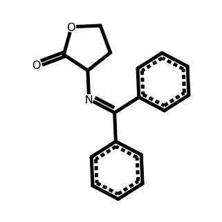 O=C1OCCC1N=C(c1ccccc1)c1ccccc1